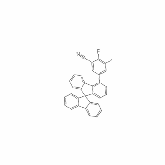 Cc1cc(-c2cccc3c2-c2ccccc2C32c3ccccc3-c3ccccc32)cc(C#N)c1F